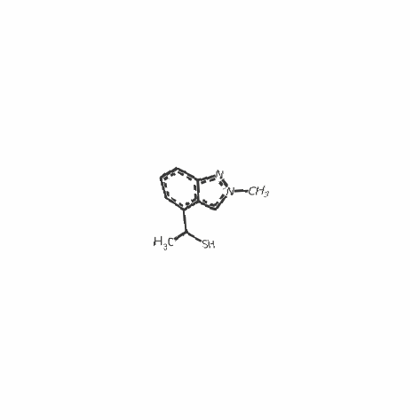 CC(S)c1cccc2nn(C)cc12